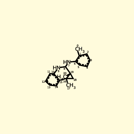 Cc1ccccc1NC1Nc2ccccc2C2(C)CC12C